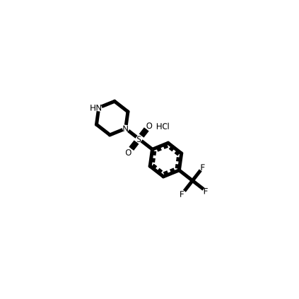 Cl.O=S(=O)(c1ccc(C(F)(F)F)cc1)N1CCNCC1